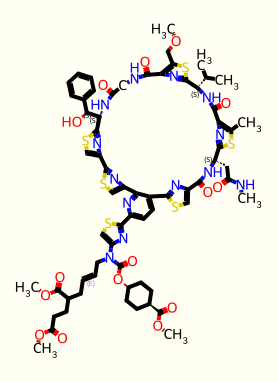 CNC(=O)C[C@@H]1NC(=O)c2csc(n2)-c2ccc(-c3nc(N(C/C=C/CC(CCC(=O)OC)C(=O)OC)C(=O)O[C@H]4CC[C@H](C(=O)OC)CC4)cs3)nc2-c2csc(n2)-c2csc(n2)[C@H]([C@@H](O)c2ccccc2)NC(=O)CNC(=O)c2nc(sc2COC)[C@H](C(C)C)NC(=O)c2nc1sc2C